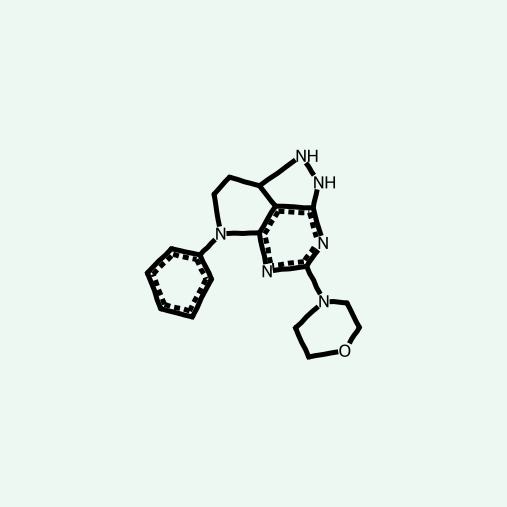 c1ccc(N2CCC3NNc4nc(N5CCOCC5)nc2c43)cc1